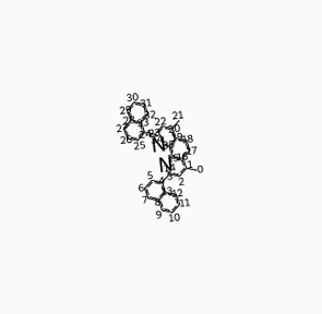 Cc1cc(-c2cccc3ccccc23)nc2c1ccc1c(C)cc(-c3cccc4ccccc34)nc12